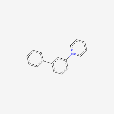 c1ccc(-c2cccc(-[n+]3ccccc3)c2)cc1